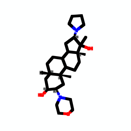 CC1(O)[C@@H](N2CCCC2)CC2C3CC[C@H]4C[C@H](O)[C@@H](N5CCOCC5)C[C@]4(C)C3CC[C@@]21C